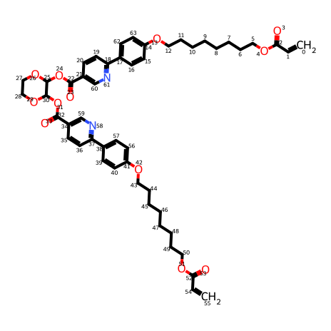 C=CC(=O)OCCCCCCCCOc1ccc(-c2ccc(C(=O)OC3OCCOC3OC(=O)c3ccc(-c4ccc(OCCCCCCCCOC(=O)C=C)cc4)nc3)cn2)cc1